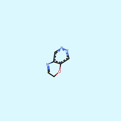 [C]1=Nc2cnncc2OC1